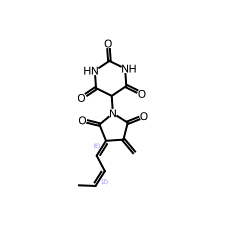 C=C1C(=O)N(C2C(=O)NC(=O)NC2=O)C(=O)/C1=C/C=C\C